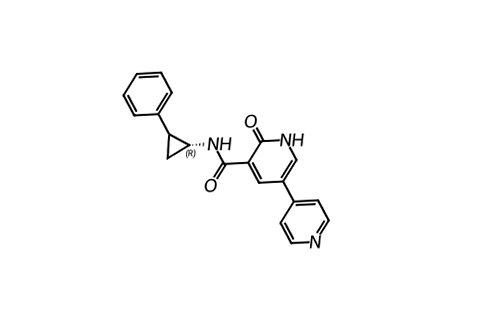 O=C(N[C@@H]1CC1c1ccccc1)c1cc(-c2ccncc2)c[nH]c1=O